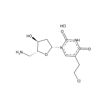 Cl.NC[C@H]1O[C@@H](n2cc(CCCl)c(=O)[nH]c2=O)C[C@@H]1O